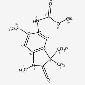 CN1C(=O)C(C)(C(=O)O)c2cc(NC(=O)OC(C)(C)C)c(C(=O)O)cc21